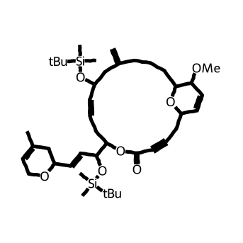 C=C1CCCC2OC(C=CC2OC)CC#CC(=O)OC(C(C=CC2CC(C)=CCO2)O[Si](C)(C)C(C)(C)C)CC=CC(O[Si](C)(C)C(C)(C)C)C1